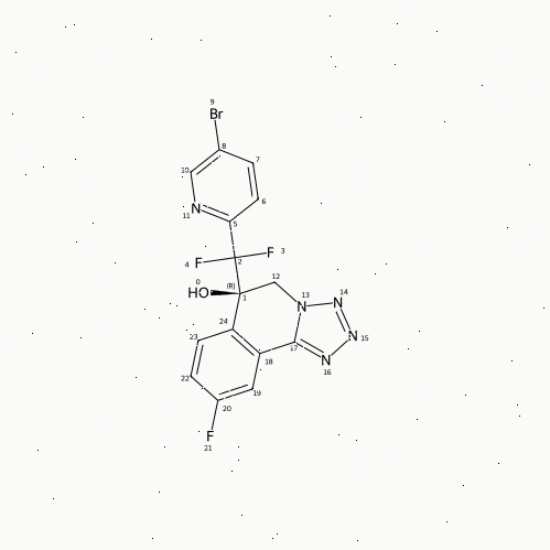 O[C@@]1(C(F)(F)c2ccc(Br)cn2)Cn2nnnc2-c2cc(F)ccc21